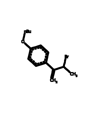 C=C(c1ccc(OCCCC)cc1)C(C)Br